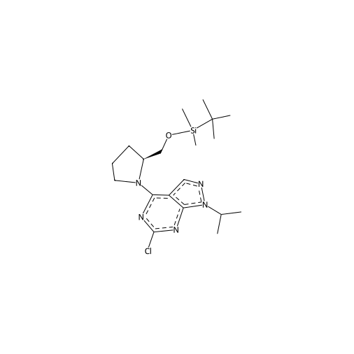 CC(C)n1ncc2c(N3CCC[C@H]3CO[Si](C)(C)C(C)(C)C)nc(Cl)nc21